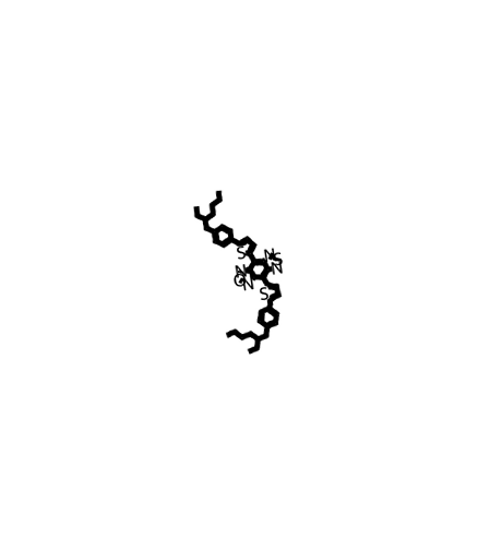 CCCCC(CC)Cc1ccc(-c2ccc(-c3c4c(c(-c5ccc(-c6ccc(CC(CC)CCCC)cc6)s5)c5nonc35)N=S=N4)s2)cc1